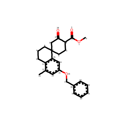 COC(=O)C1CCC2(CCCc3c(C)cc(OCc4ccccc4)cc32)CC1=O